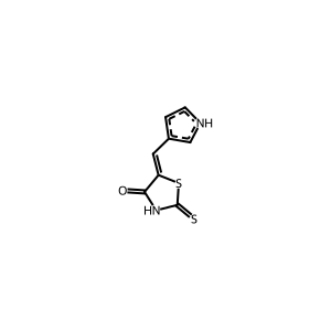 O=C1NC(=S)SC1=Cc1cc[nH]c1